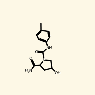 Cc1ccc(NC(=O)N2CC(O)CC2C(N)=O)cc1